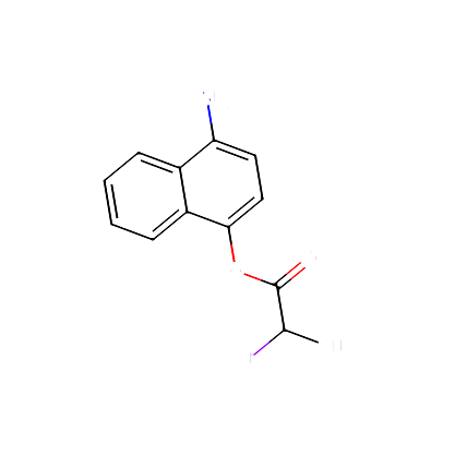 CC(I)C(=O)Oc1ccc(N)c2ccccc12